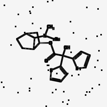 CCCCN(C)C1C2CCC1C(OC(=O)C(O)(c1cccs1)c1cccs1)C2